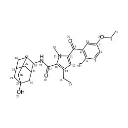 CCOc1ccc(F)c(C(=O)c2cc(CC)c(C(=O)NC3C4CC5CC3CC(O)(C5)C4)n2C)c1